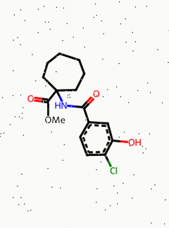 COC(=O)C1(NC(=O)c2ccc(Cl)c(O)c2)CCCCCC1